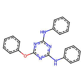 c1ccc(Nc2nc(Nc3ccccc3)nc(Oc3ccccc3)n2)cc1